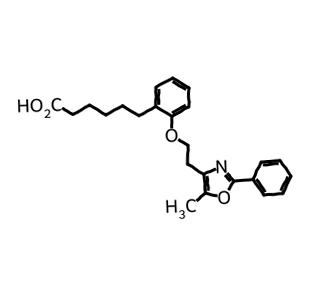 Cc1oc(-c2ccccc2)nc1CCOc1ccccc1CCCCCC(=O)O